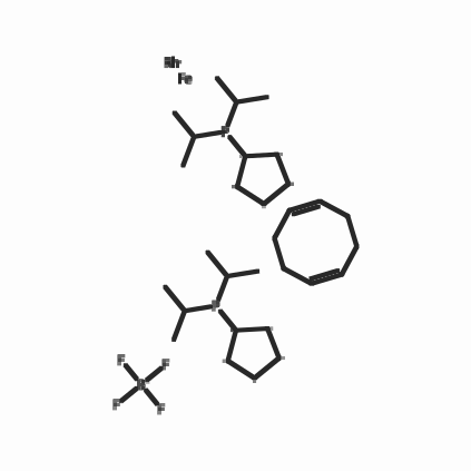 C1=CCCC=CCC1.CC(C)P([C]1[CH][CH][CH][CH]1)C(C)C.CC(C)P([C]1[CH][CH][CH][CH]1)C(C)C.F[B-](F)(F)F.[Fe].[Rh]